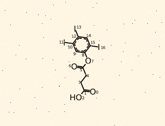 O=C(O)CCC(=O)Oc1cc(I)c(I)cc1I